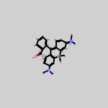 CN(C)c1ccc2c(c1)[Si](C)(C)C1=CC(=[N+](C)C)C=CC1=C2c1ccccc1C(=O)Cl